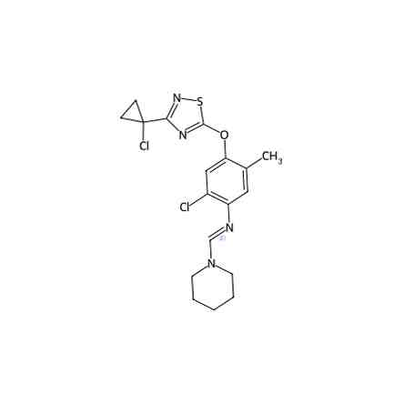 Cc1cc(/N=C/N2CCCCC2)c(Cl)cc1Oc1nc(C2(Cl)CC2)ns1